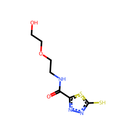 O=C(NCCOCCO)c1nnc(S)s1